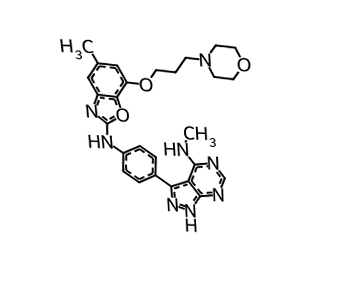 CNc1ncnc2[nH]nc(-c3ccc(Nc4nc5cc(C)cc(OCCCN6CCOCC6)c5o4)cc3)c12